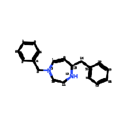 C1=CN(Cc2ccccc2)CCN[C@@H]1Cc1ccccc1